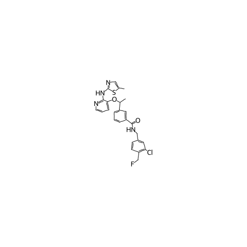 Cc1cnc(Nc2ncccc2OC(C)c2cccc(C(=O)NCc3ccc(CF)c(Cl)c3)c2)s1